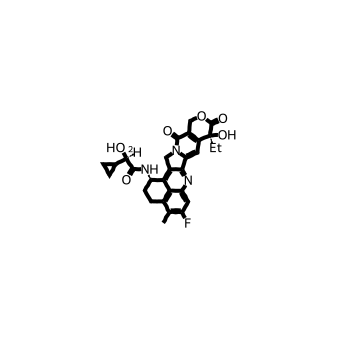 [2H][C@](O)(C(=O)N[C@H]1CCc2c(C)c(F)cc3nc4c(c1c23)Cn1c-4cc2c(c1=O)COC(=O)[C@]2(O)CC)C1CC1